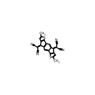 Cc1cc2c(s1)-c1cc3c(cc1C2=C(C#N)C#N)-c1sc(C)cc1C3=C(C#N)C#N